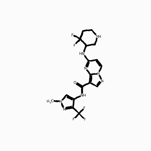 Cn1cc(NC(=O)c2cnn3ccc(NC4CNCCC4(F)F)nc23)c(C(F)(F)F)n1